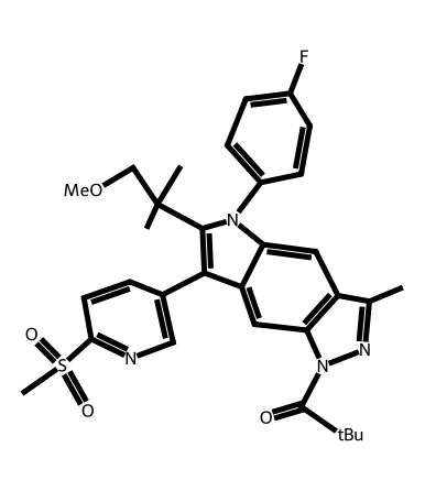 COCC(C)(C)c1c(-c2ccc(S(C)(=O)=O)nc2)c2cc3c(cc2n1-c1ccc(F)cc1)c(C)nn3C(=O)C(C)(C)C